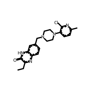 CCc1nc2ccc(CN3CCN(c4ccc(C)nc4Cl)CC3)cc2[nH]c1=O